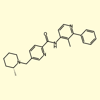 Cc1c(NC(=O)c2ccc(CN3CCCC[C@H]3C)cn2)ccnc1-c1ccccc1